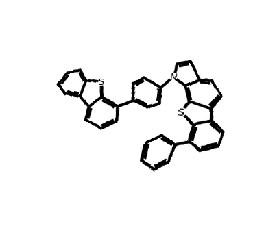 c1ccc(-c2cccc3c2sc2c3ccc3ccn(-c4ccc(-c5cccc6c5sc5ccccc56)cc4)c32)cc1